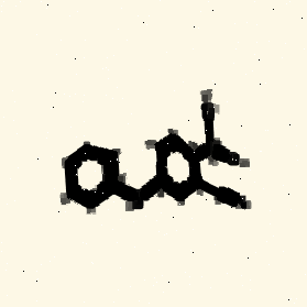 N#Cc1cc(Sc2ccccc2)ccc1[N+](=O)[O-]